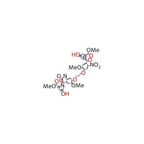 COC(=O)[C@H]1C[C@@H](O)CN1C(=O)c1cc(OC)c(OCCCOc2cc([N+](=O)[O-])c(C(=O)N3C[C@H](O)C[C@H]3C(=O)OC)cc2OC)cc1[N+](=O)[O-]